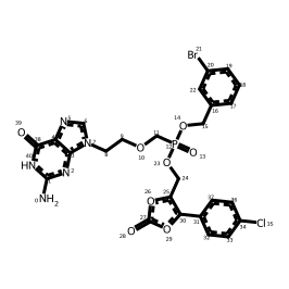 Nc1nc2c(ncn2CCOCP(=O)(OCc2cccc(Br)c2)OCc2oc(=O)oc2-c2ccc(Cl)cc2)c(=O)[nH]1